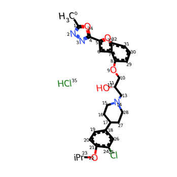 Cc1nnc(-c2cc3c(OC[C@@H](O)CN4CCC(c5ccc(OC(C)C)c(Cl)c5)CC4)cccc3o2)o1.Cl